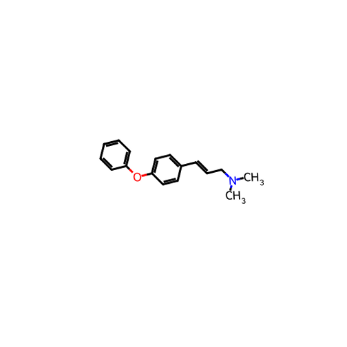 CN(C)CC=Cc1ccc(Oc2ccccc2)cc1